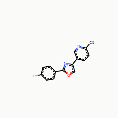 N#Cc1ccc(-c2coc(-c3ccc(F)cc3)n2)cn1